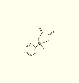 C=CC[Si](C)(CC=C)c1cc[c]cc1